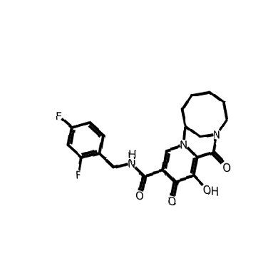 O=C(NCc1ccc(F)cc1F)c1cn2c(c(O)c1=O)C(=O)N1CCCCCC2C1